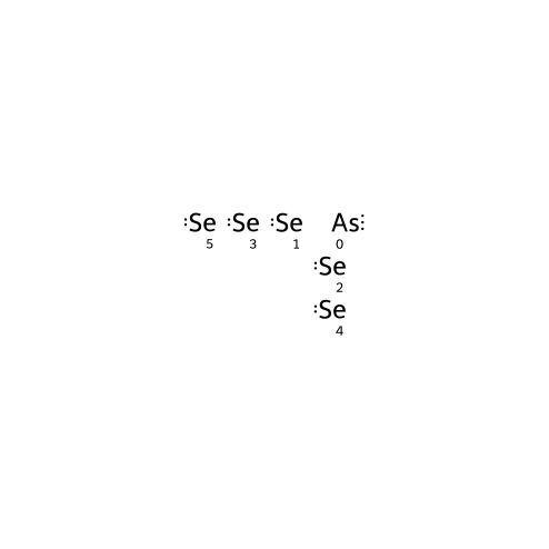 [As].[Se].[Se].[Se].[Se].[Se]